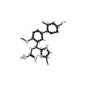 COc1ccc(-c2ccc(F)cc2C)cc1C(CC(=O)O)c1ncc(C)s1